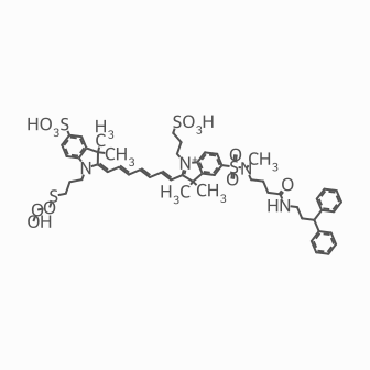 CN(CCCC(=O)NCCC(c1ccccc1)c1ccccc1)S(=O)(=O)c1ccc2c(c1)C(C)(C)C(/C=C/C=C/C=C/C=C1/N(CCCSOOO)c3ccc(S(=O)(=O)O)cc3C1(C)C)=[N+]2CCCS(=O)(=O)O